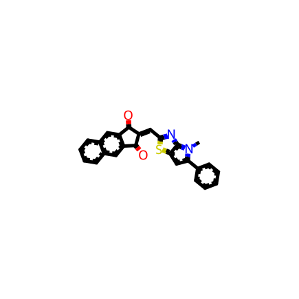 Cn1c(-c2ccccc2)cc2sc(C=C3C(=O)c4cc5ccccc5cc4C3=O)nc21